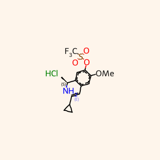 COc1cc(/C=C/C2CC2)c([C@H](C)N)cc1OS(=O)(=O)C(F)(F)F.Cl